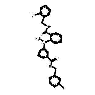 N[As](c1cccc(C(=O)NCc2cccc(F)c2)c1)c1cc[c]cc1C(=O)NCc1ccccc1C(F)(F)F